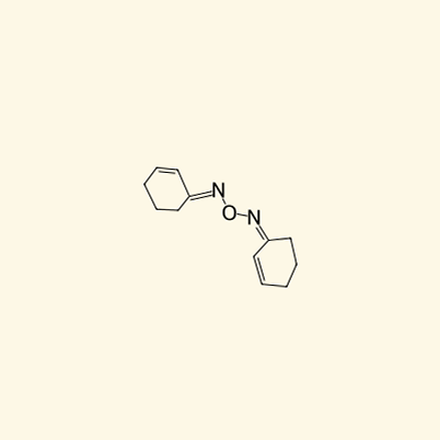 C1=CC(=NON=C2C=CCCC2)CCC1